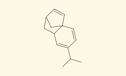 CC(C)C1=CC2CC3C=CC2(C=C1)C3